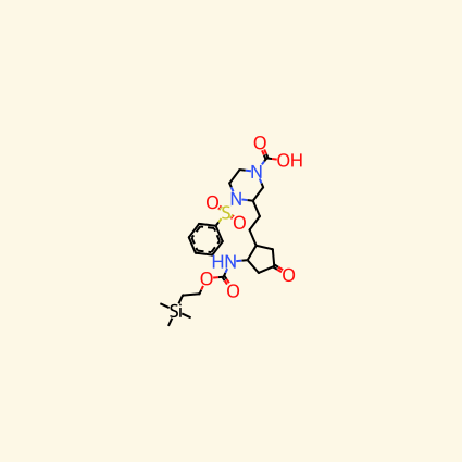 C[Si](C)(C)CCOC(=O)NC1CC(=O)CC1CCC1CN(C(=O)O)CCN1S(=O)(=O)c1ccccc1